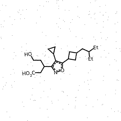 CCC(CC)CC1CC(c2onc(C(CCO)CC(=O)O)c2C2CC2)C1